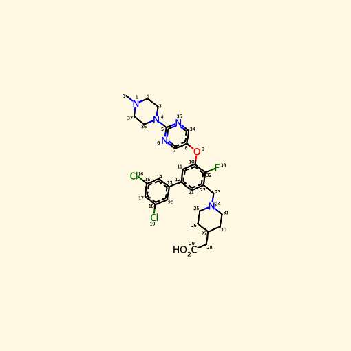 CN1CCN(c2ncc(Oc3cc(-c4cc(Cl)cc(Cl)c4)cc(CN4CCC(CC(=O)O)CC4)c3F)cn2)CC1